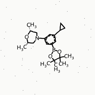 C[C@@H]1CN(c2cc(B3OC(C)(C)C(C)(C)O3)cc(C3CC3)c2)C[C@H](C)O1